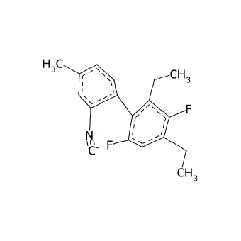 [C-]#[N+]c1cc(C)ccc1-c1c(F)cc(CC)c(F)c1CC